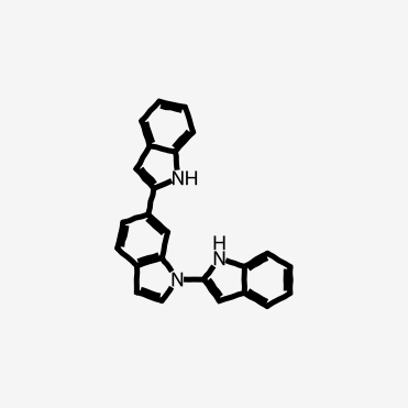 c1ccc2[nH]c(-c3ccc4ccn(-c5cc6ccccc6[nH]5)c4c3)cc2c1